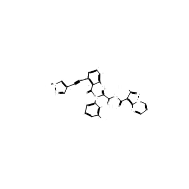 Cc1nn2cccnc2c1C(=O)NC(C)c1nc2cccc(C#Cc3cnn(C)c3)c2c(=O)n1-c1cccc(F)c1